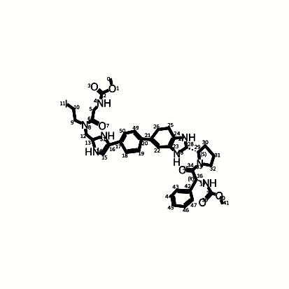 COC(=O)NCC(=O)N(CCI)CC1NC=C(c2ccc(C3=CC4=C(CC3)NC([C@@H]3CCCN3C(=O)[C@H](NC(=O)OC)c3ccccc3)N4)cc2)N1